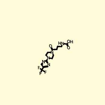 O=C(O)NCCCC(=O)N1CCN(c2ncc(C(F)(F)F)cn2)CC1